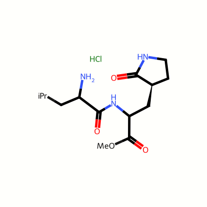 COC(=O)C(C[C@@H]1CCNC1=O)NC(=O)C(N)CC(C)C.Cl